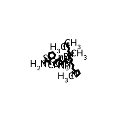 CCC/C(C(=N)c1nc(CCC2CCCN2C)cc(N(C)CCN(C)C)n1)=C(/C)[C@H]1CCCc2sc(N)c(C#N)c21